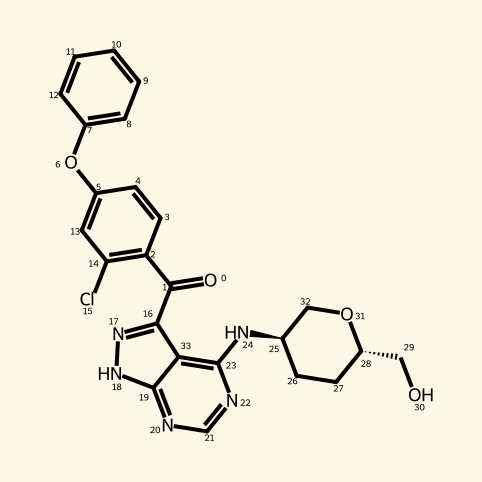 O=C(c1ccc(Oc2ccccc2)cc1Cl)c1n[nH]c2ncnc(N[C@@H]3CC[C@@H](CO)OC3)c12